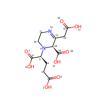 O=C(O)CC[C@@H](C(=O)O)N1CCN=C(CC(=O)O)[C@H]1C(=O)O